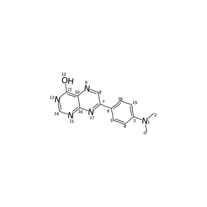 CN(C)c1ccc(-c2cnc3c(O)ncnc3n2)cc1